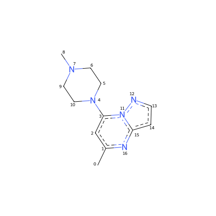 Cc1cc(N2CCN(C)CC2)n2nccc2n1